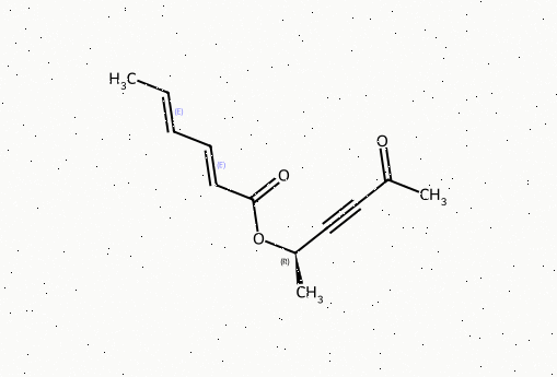 C/C=C/C=C/C(=O)O[C@H](C)C#CC(C)=O